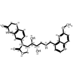 COc1ccc2nccc(CNC[C@H](O)[C@H](O)[C@@H]3COC(=O)N3c3ccc4c(c3)NC(=O)CS4)c2n1